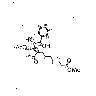 COC(=O)CCCCCCC1=C(C(O)C(O)c2ccccc2)C(OC(C)=O)CC1=O